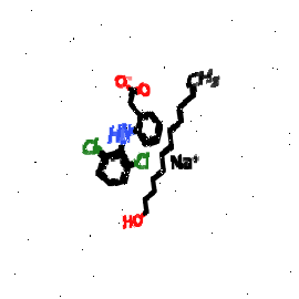 CCCCCCCCCCCCO.O=C([O-])Cc1ccccc1Nc1c(Cl)cccc1Cl.[Na+]